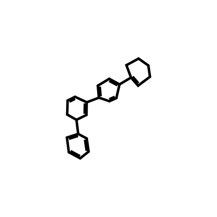 C1=CC(c2ccc(C3=CCCCC3)cc2)=CC(c2ccccc2)C1